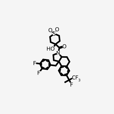 CC(F)(c1ccc2c(c1)CCC1N(C(=O)C3(O)CCS(=O)(=O)CC3)CCC21Cc1ccc(F)c(F)c1)C(F)(F)F